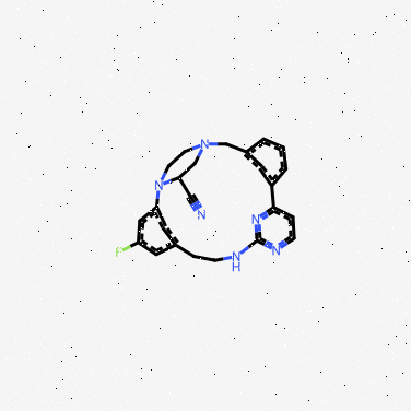 N#CC1CN2CCN1c1cc(F)cc(c1)CCNc1nccc(n1)-c1cccc(c1)C2